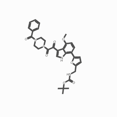 COc1ccc(-c2ccc(CNC(=O)OC(C)(C)C)o2)c2[nH]cc(C(=O)C(=O)N3CCN(C(=O)c4ccccc4)CC3)c12